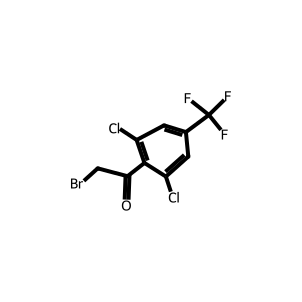 O=C(CBr)c1c(Cl)cc(C(F)(F)F)cc1Cl